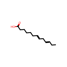 CCC=CCC=CCCCCCC(=O)O